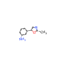 Cc1ncc(-c2cccc(N)c2)o1